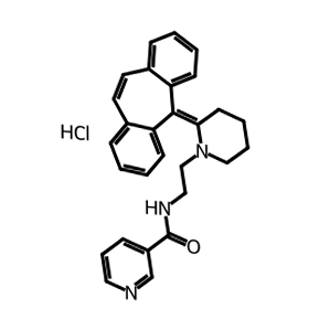 Cl.O=C(NCCN1CCCCC1=C1c2ccccc2C=Cc2ccccc21)c1cccnc1